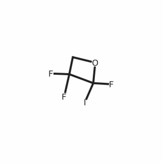 FC1(F)COC1(F)I